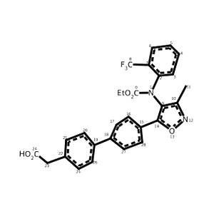 CCOC(=O)N(c1ccccc1C(F)(F)F)c1c(C)noc1-c1ccc(-c2ccc(CC(=O)O)cc2)cc1